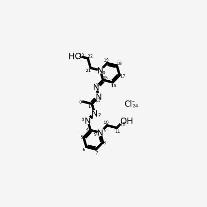 CC(/N=N/c1cccc[n+]1CCO)=N\N=c1/ccccn1CCO.[Cl-]